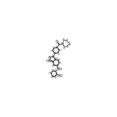 O=C(c1ccc(-c2n[nH]c3cc(Nc4ccccc4Cl)ccc23)cc1)N1CCSCC1